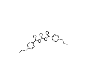 CCCc1ccc(C(=O)OC(=O)OC(=O)c2ccc(CCC)cc2)cc1